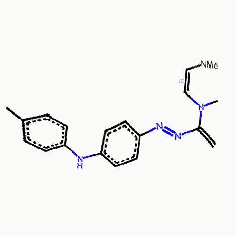 C=C(N=Nc1ccc(Nc2ccc(C)cc2)cc1)N(C)/C=C\NC